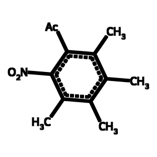 CC(=O)c1c(C)c(C)c(C)c(C)c1[N+](=O)[O-]